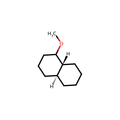 COC1CCC[C@@H]2CCCC[C@@H]12